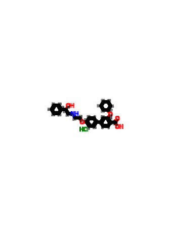 Cl.O=C(O)c1ccc(-c2ccc(OCCNC[C@H](O)c3ccccc3)cc2)cc1OC1CCCCC1